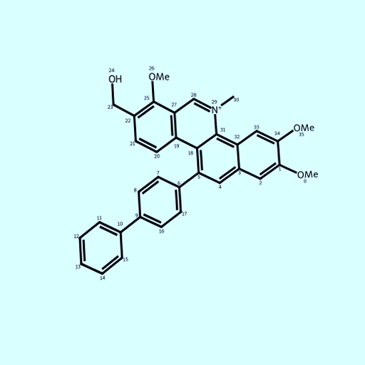 COc1cc2cc(-c3ccc(-c4ccccc4)cc3)c3c4ccc(CO)c(OC)c4c[n+](C)c3c2cc1OC